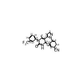 Cc1c(-c2ccnn2C2=CCC(C#N)C=C2)c(=O)[nH]c(=O)n1-c1cccc(C(F)(F)F)c1